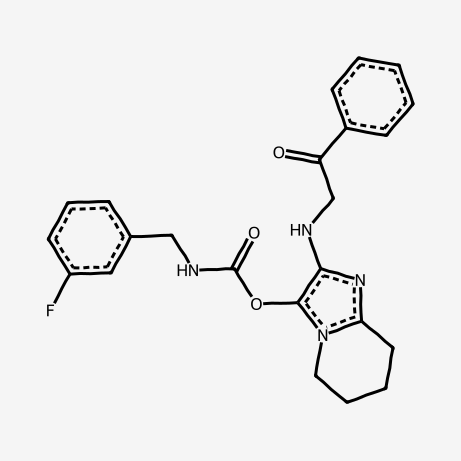 O=C(NCc1cccc(F)c1)Oc1c(NCC(=O)c2ccccc2)nc2n1CCCC2